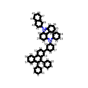 c1ccc(-c2c(-c3ccccc3)c3cc(-c4cccc(N(c5ccccc5)c5cccc6c5c5ccccc5n6-c5ccc6ccccc6c5)c4)ccc3c3ccccc23)cc1